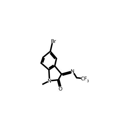 CN1C(=O)C(=NCC(F)(F)F)c2cc(Br)ccc21